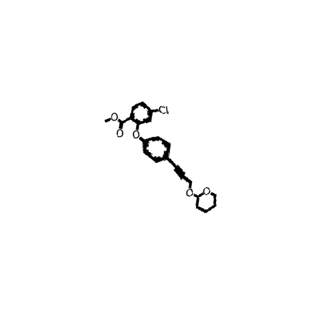 COC(=O)c1ccc(Cl)cc1Oc1ccc(C#CCOC2CCCCO2)cc1